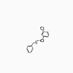 Clc1cccc(O[CH]SCc2ccccc2)c1